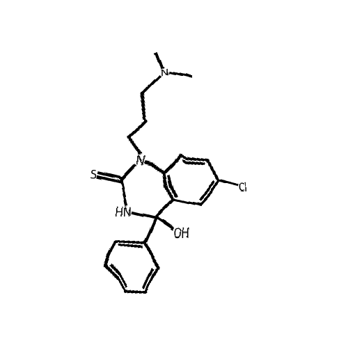 CN(C)CCCN1C(=S)NC(O)(c2ccccc2)c2cc(Cl)ccc21